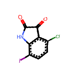 O=C1Nc2c(I)ccc(Cl)c2C1=O